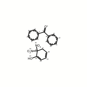 O=C(c1ccccc1)c1ccccc1.O=[N+]([O-])C1([N+](=O)[O-])CC=CC=C1O